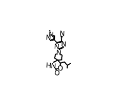 CC(C)CC1OC(=O)NCC12CCN(c1cnc(C#N)c(-c3cnn(C)c3)n1)CC2